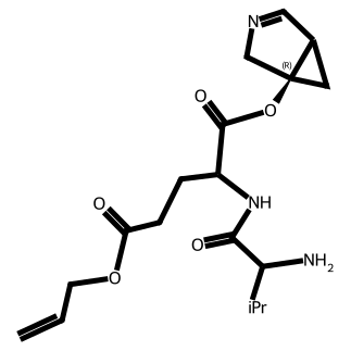 C=CCOC(=O)CCC(NC(=O)C(N)C(C)C)C(=O)O[C@@]12CN=CC1C2